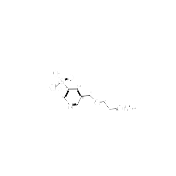 COCCOCc1cncc(S(=O)(=O)Cl)c1